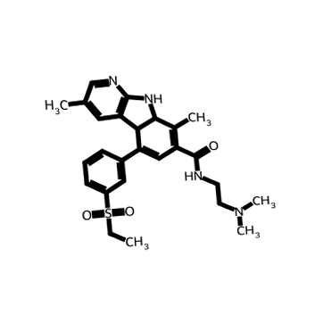 CCS(=O)(=O)c1cccc(C2=CC(C(=O)NCCN(C)C)=C(C)C3Nc4ncc(C)cc4C23)c1